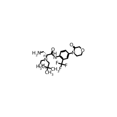 CCN(CC(C)(C)C)[C@H](CN)C(=O)Nc1ccc(N2CCOCC2=O)cc1C(F)(F)F